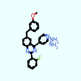 COc1cccc(Cc2ccc3nc(-c4ccccc4F)nc(-c4ccncc4)c3c2)c1.NN